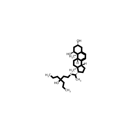 CCCC(O)(CCC)CCSC(C)[C@H]1CC[C@H]2C3=CC=C4C[C@@H](O)C[C@H](O)[C@]4(C)[C@H]3CC[C@]12C